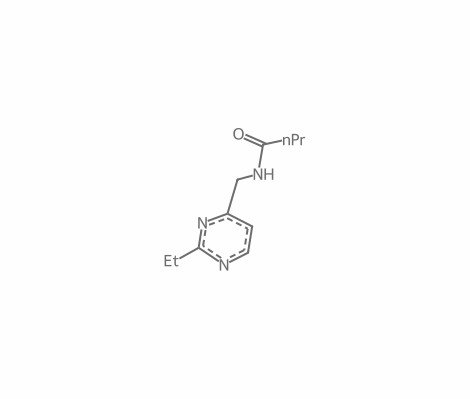 CCCC(=O)NCc1ccnc(CC)n1